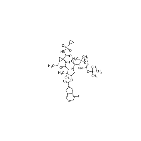 C=C[C@@H]1C[C@]1(NC(=O)[C@H]1N(C(=O)[C@@H](NC(=O)OC(C)(C)C)C(C)(C)C)C[C@H](OC(=O)N2Cc3cccc(F)c3C2)C1(C)C)C(=O)NS(=O)(=O)C1CC1